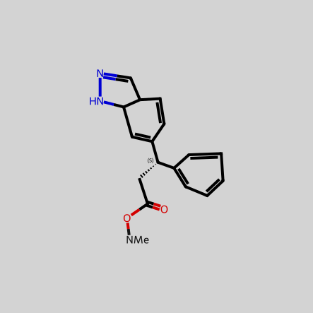 CNOC(=O)C[C@H](C1=CC2NN=CC2C=C1)c1ccccc1